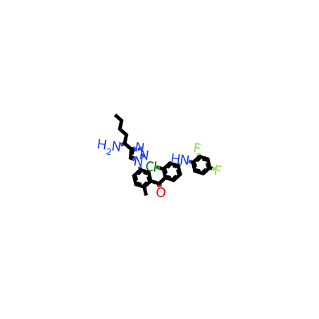 CCCCC(N)c1cn(-c2ccc(C)c(C(=O)c3ccc(Nc4ccc(F)cc4F)cc3Cl)c2)nn1